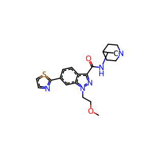 COCCn1nc(C(=O)NC2CN3CCC2CC3)c2ccc(-c3nccs3)cc21